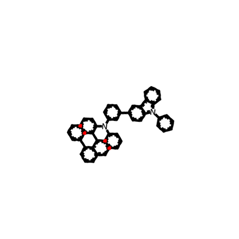 c1ccc(-c2cccc3cccc(-c4ccccc4N(c4ccccc4)c4cccc(-c5ccc6c(c5)c5ccccc5n6-c5ccccc5)c4)c23)cc1